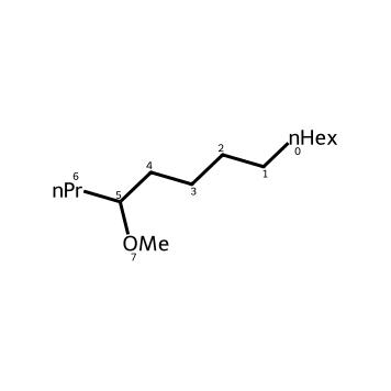 CCCCCCCCCCC(CCC)OC